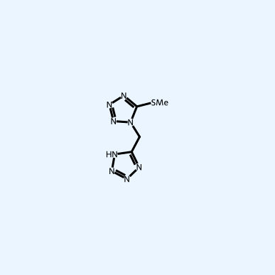 CSc1nnnn1Cc1nnn[nH]1